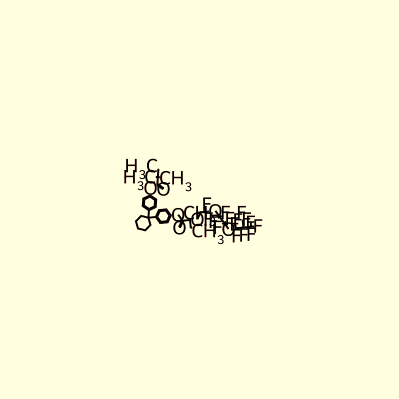 CCC(C)(C)C(=O)Oc1ccc(C2(c3ccc(OC(=O)C(C)(CC)OCC(F)(F)OC(F)(F)C(F)(F)OC(F)(F)C(F)(C(F)(F)F)C(F)(F)F)cc3)CCCCC2)cc1